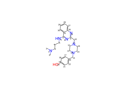 CN(C)CCCNc1nc(CN2CCN(Cc3ccc(O)cc3)CC2)nc2ccccc12